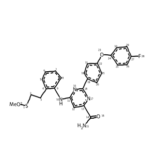 COSCCc1ccccc1Nc1cc(C(N)=O)nc(-c2ccc(Oc3ccc(F)cc3)cc2)n1